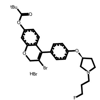 Br.CC(C)(C)C(=O)Oc1ccc2c(c1)OCC(Br)=C2c1ccc(O[C@H]2CCN(CCCF)C2)cc1